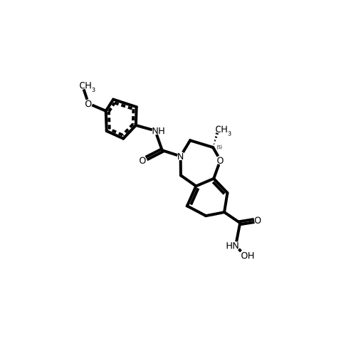 COc1ccc(NC(=O)N2CC3=CCC(C(=O)NO)C=C3O[C@@H](C)C2)cc1